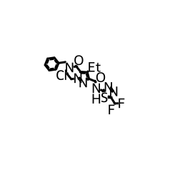 CCc1c(C(=O)Nc2nnc(C(F)F)s2)nn2c1C(=O)N(Cc1ccccc1Cl)CC2